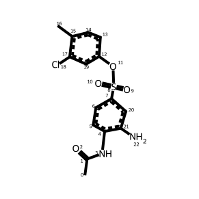 CC(=O)Nc1ccc(S(=O)(=O)Oc2ccc(C)c(Cl)c2)cc1N